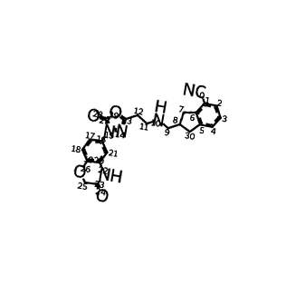 N#Cc1cccc2c1CC(CNCCc1nn(-c3ccc4c(c3)NC(=O)CO4)c(=O)o1)C2